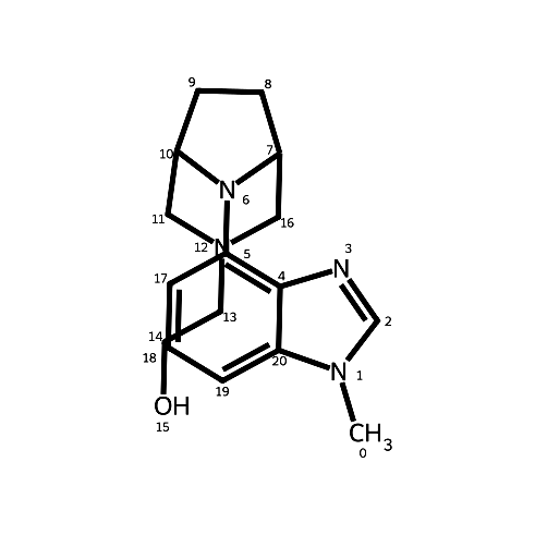 Cn1cnc2c(N3C4CCC3CN(CCO)C4)cccc21